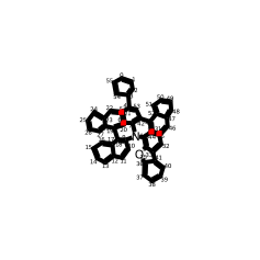 c1ccc(-c2ccc(N(c3ccc4ccccc4c3-c3cccc4ccccc34)c3cccc4c3oc3ccccc34)c(-c3cccc4ccccc34)c2)cc1